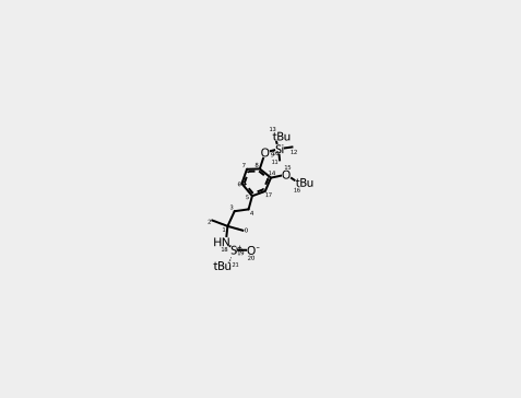 CC(C)(CCc1ccc(O[Si](C)(C)C(C)(C)C)c(OC(C)(C)C)c1)N[S@+]([O-])C(C)(C)C